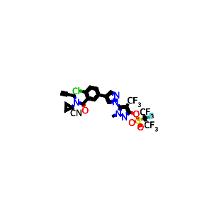 C#CCN(C(=O)c1cc(-c2cnn(-c3c(C(F)(F)F)c(OS(=O)(=O)C(F)(C(F)(F)F)C(F)(F)F)nn3C)c2)ccc1Cl)C1(C#N)CC1